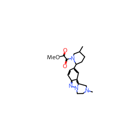 COC(=O)C(=O)N1CC(C)CCC1c1ccc2nn3c(c2c1)CN(C)CC3